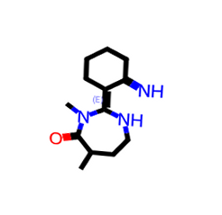 CC1CCN/C(=C2/CCCCC2=N)N(C)C1=O